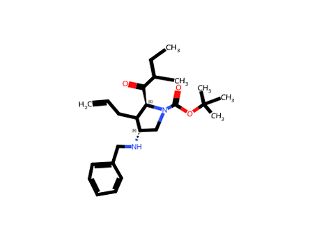 C=CCC1[C@@H](NCc2ccccc2)CN(C(=O)OC(C)(C)C)[C@@H]1C(=O)C(C)CC